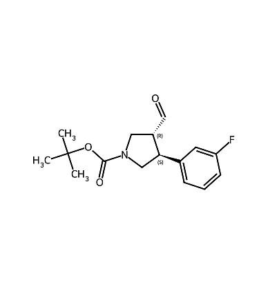 CC(C)(C)OC(=O)N1C[C@H](c2cccc(F)c2)[C@@H](C=O)C1